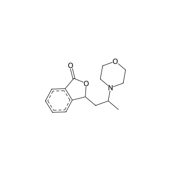 CC(CC1OC(=O)c2ccccc21)N1CCOCC1